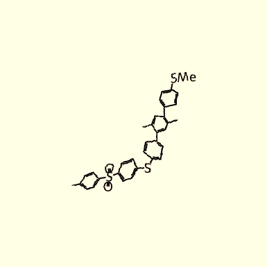 CSc1ccc(-c2cc(C)c(-c3ccc(Sc4ccc(S(=O)(=O)c5ccc(C)cc5)cc4)cc3)cc2C)cc1